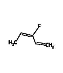 C=C/C(F)=C\C